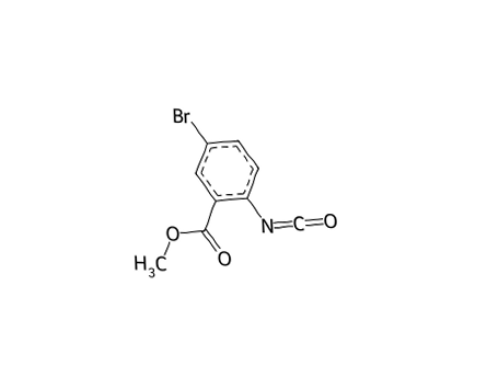 COC(=O)c1cc(Br)ccc1N=C=O